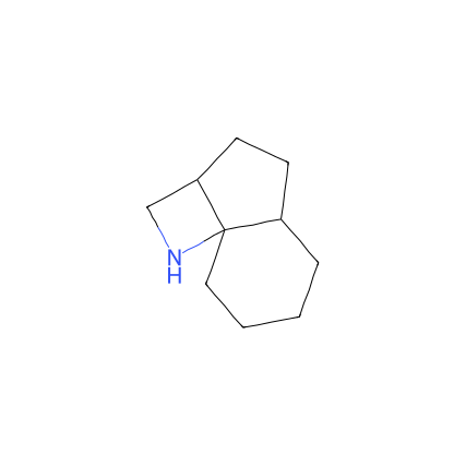 C1CCC23NCC2CCC3C1